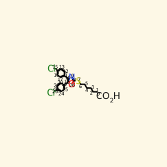 O=C(O)CCCCCCSc1nc(-c2ccc(Cl)cc2)c(-c2ccc(Cl)cc2)o1